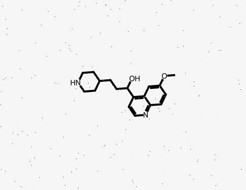 COc1ccc2nccc(C(O)CCC3CCNCC3)c2c1